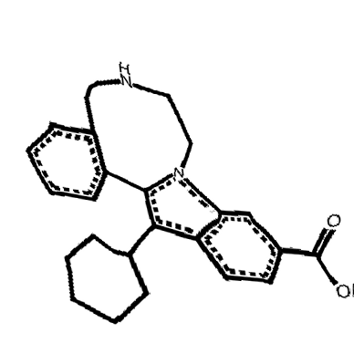 COC(=O)c1ccc2c(C3CCCCC3)c3n(c2c1)CCNCc1ccccc1-3